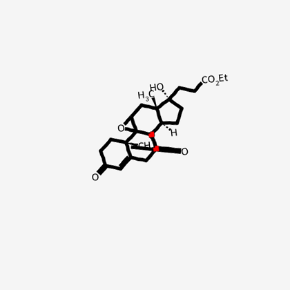 CCOC(=O)CC[C@@]1(O)CC[C@H]2C34OC(=O)C3CC3=CC(=O)CC[C@]3(C)C43OC3C[C@@]21C